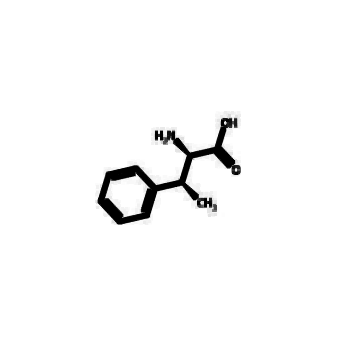 C[C@@H](c1ccccc1)[C@@H](N)C(=O)O